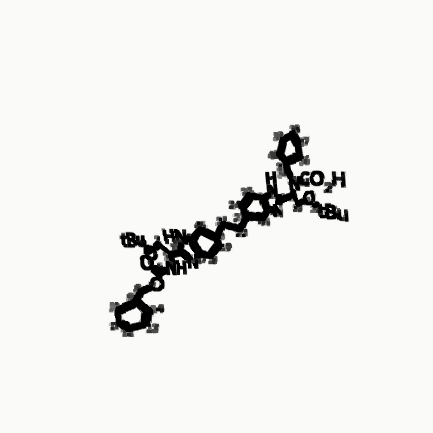 CC(C)(C)OC[C@H](NC(=O)OCc1ccccc1)c1nc2ccc(CCc3ccc4[nH]c([C@H](COC(C)(C)C)N(Cc5ccccc5)C(=O)O)nc4c3)cc2[nH]1